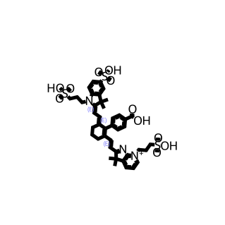 CC1(C)C(/C=C/C2=C(c3ccc(C(=O)O)cc3)C(=C/C=C3/N(CCCS(=O)(=O)O)c4ccc(S(=O)(=O)O)cc4C3(C)C)/CCC2)=Nc2c1ccc[n+]2CCCS(=O)(=O)O